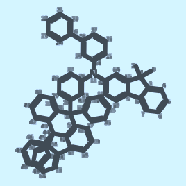 CC1(C)c2ccccc2-c2ccc(N(c3cccc(-c4ccccc4)c3)c3cccc(C4(c5ccccc5)c5ccccc5C5(c6ccccc6)c6ccccc6-c6cccc4c65)c3)cc21